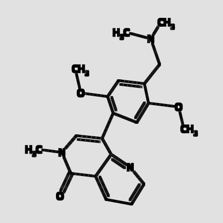 COc1cc(-c2cn(C)c(=O)c3cccnc23)c(OC)cc1CN(C)C